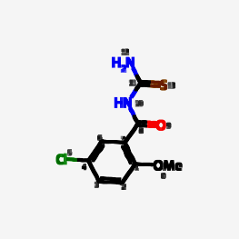 COc1ccc(Cl)cc1C(=O)NC(N)=S